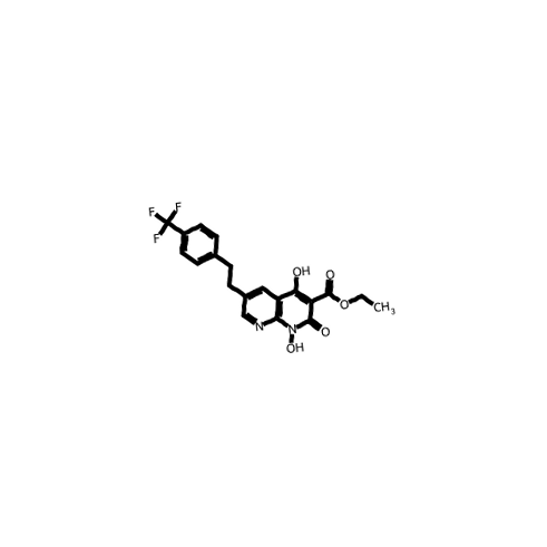 CCOC(=O)c1c(O)c2cc(CCc3ccc(C(F)(F)F)cc3)cnc2n(O)c1=O